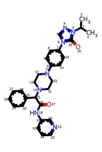 CC(C)n1ncn(-c2ccc(N3CCN(C(C(=O)Nc4cccnc4)c4ccccc4)CC3)cc2)c1=O